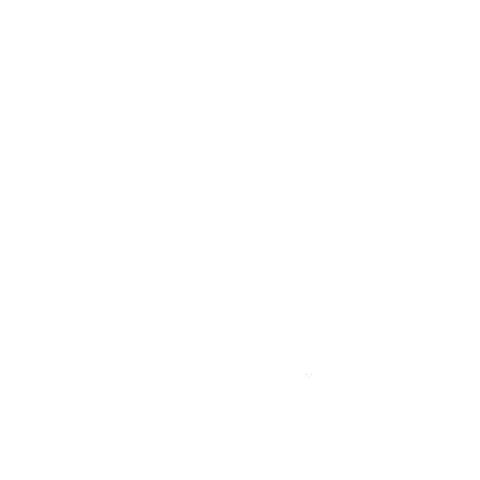 [CH]SCCCCCCC/C=C\CCCCCCCCc1ccc(Cl)cc1